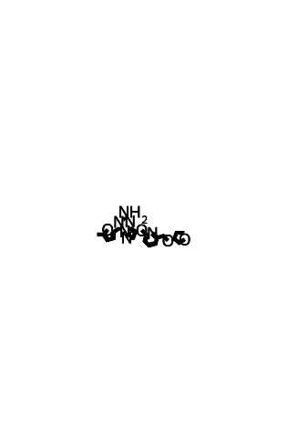 Cc1ccc(-c2nc(N)nc3c(Oc4cccc(CO[C@H]5CCOC5)n4)cnn23)o1